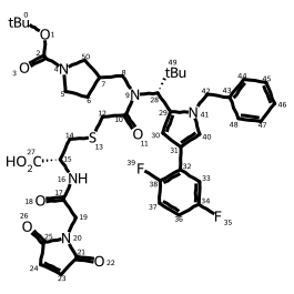 CC(C)(C)OC(=O)N1CCC(CN(C(=O)CSC[C@H](NC(=O)CN2C(=O)C=CC2=O)C(=O)O)[C@@H](c2cc(-c3cc(F)ccc3F)cn2Cc2ccccc2)C(C)(C)C)C1